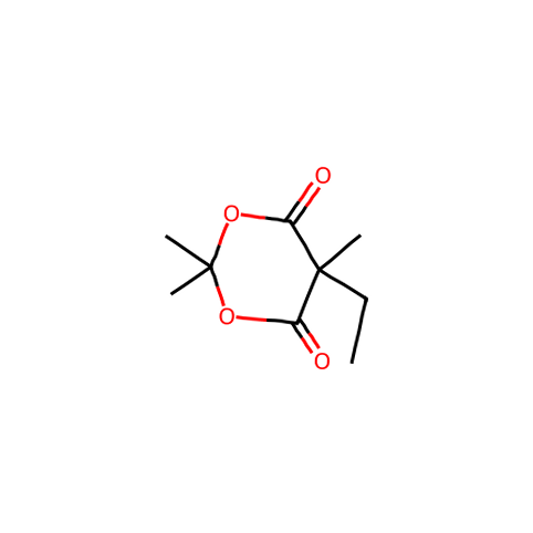 CCC1(C)C(=O)OC(C)(C)OC1=O